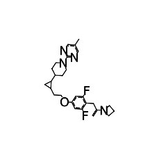 C=C(Cc1c(F)cc(OCCC2CC2C2CCN(c3ncc(C)cn3)CC2)cc1F)N1CCC1